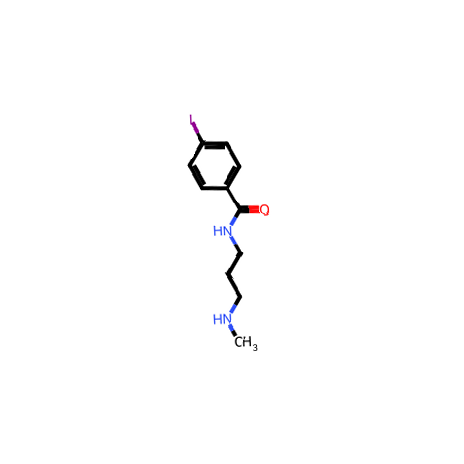 CNCCCNC(=O)c1ccc(I)cc1